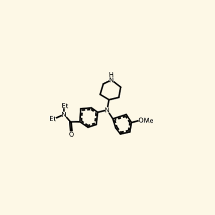 CCN(CC)C(=O)c1ccc(N(c2cccc(OC)c2)C2CCNCC2)cc1